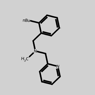 CCCCc1cc[c]cc1CN(C)Cc1ccccn1